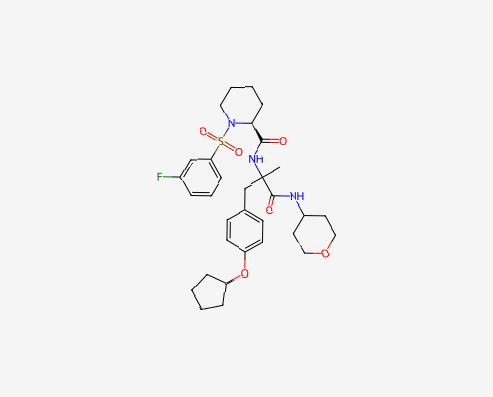 CC(Cc1ccc(OC2CCCC2)cc1)(NC(=O)[C@@H]1CCCCN1S(=O)(=O)c1cccc(F)c1)C(=O)NC1CCOCC1